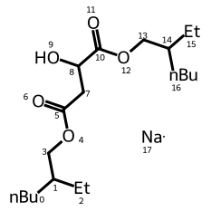 CCCCC(CC)COC(=O)CC(O)C(=O)OCC(CC)CCCC.[Na]